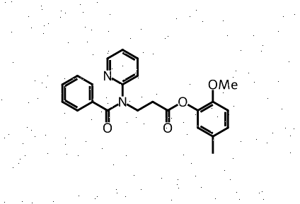 COc1ccc(C)cc1OC(=O)CCN(C(=O)C1=CC=C=C=C1)c1ccccn1